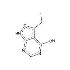 CCc1n[nH]c2ncnc(O)c12